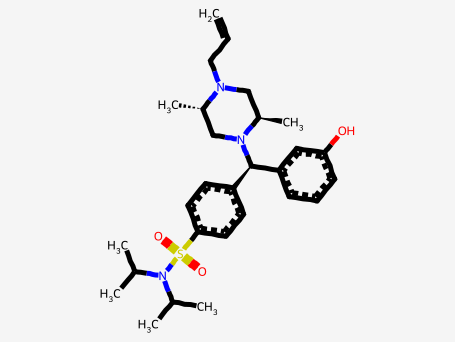 C=CCN1C[C@@H](C)N([C@H](c2ccc(S(=O)(=O)N(C(C)C)C(C)C)cc2)c2cccc(O)c2)C[C@@H]1C